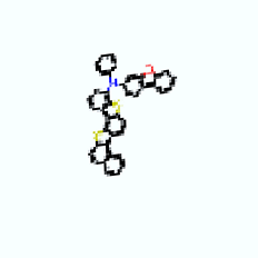 c1ccc(N(c2ccc3c(c2)oc2ccccc23)c2cccc3c2sc2ccc4c(sc5ccc6ccccc6c54)c23)cc1